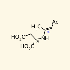 CC(=O)/C=C(\C)N[C@@H](CC(=O)O)C(=O)O